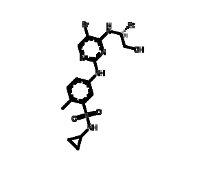 CC[C@H](CO)Nc1nc(Nc2ccc(C)c(S(=O)(=O)NC3CC3)c2)ncc1Br